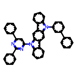 c1ccc(-c2cccc(-n3c4ccccc4c4cc5c(cc43)c3ccccc3n5-c3cc(-c4ccccc4)nc(-c4ccccc4)n3)c2)cc1